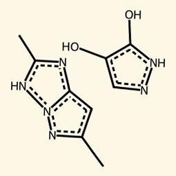 Cc1cc2nc(C)[nH]n2n1.Oc1cn[nH]c1O